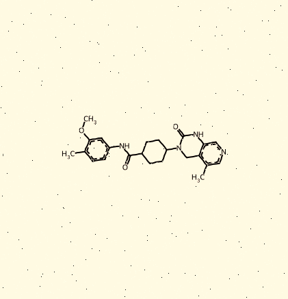 COc1cc(NC(=O)C2CCC(N3Cc4c(C)cncc4NC3=O)CC2)ccc1C